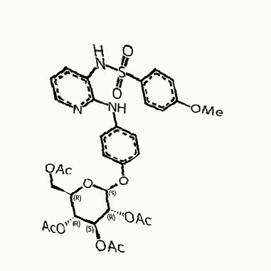 COc1ccc(S(=O)(=O)Nc2cccnc2Nc2ccc(O[C@@H]3O[C@H](COC(C)=O)[C@@H](OC(C)=O)[C@H](OC(C)=O)[C@H]3OC(C)=O)cc2)cc1